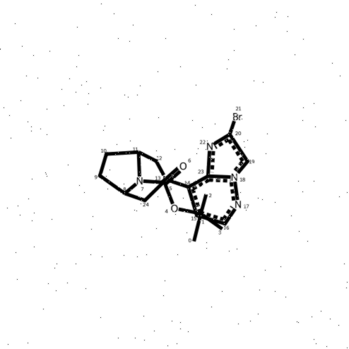 CC(C)(C)OC(=O)N1C2CCC1CN(c1ccnn3cc(Br)nc13)C2